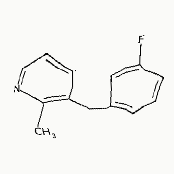 Cc1ncc[c]c1Cc1cccc(F)c1